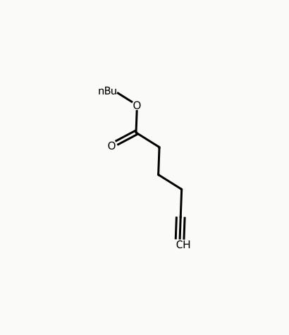 C#CCCCC(=O)OCCCC